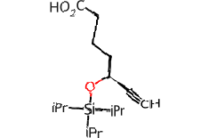 C#C[C@H](CCCC(=O)O)O[Si](C(C)C)(C(C)C)C(C)C